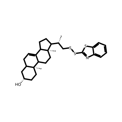 C[C@H](CSSc1nc2ccccc2s1)C1CCC2C3=CCC4C[C@@H](O)CC[C@]4(C)C3CC[C@@]21C